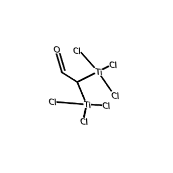 O=C[CH]([Ti]([Cl])([Cl])[Cl])[Ti]([Cl])([Cl])[Cl]